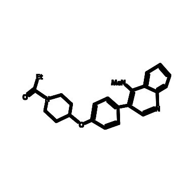 CCC(=O)N1CCC(Oc2ccc(-c3cnc4ccccc4c3NC)cc2)CC1